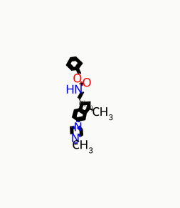 C[C@@H]1C[C@@H](CCNC(=O)OCc2ccccc2)c2ccc(N3CCN(C)CC3)cc21